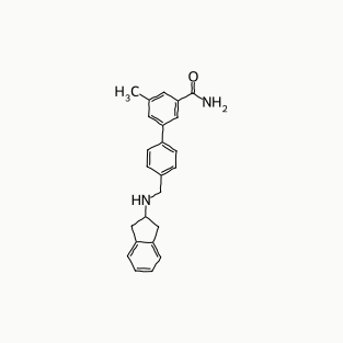 Cc1cc(C(N)=O)cc(-c2ccc(CNC3Cc4ccccc4C3)cc2)c1